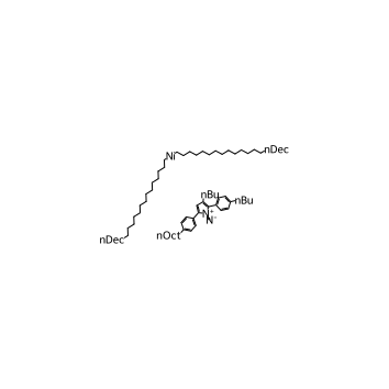 CCCCCCCCCCCCCCCCCCCCCCC[CH2][Ni][CH2]CCCCCCCCCCCCCCCCCCCCCCC.CCCCCCCCc1ccc(C2=CC(CCCC)=C(c3ccc(CCCC)cc3)[N+]2=[N-])cc1